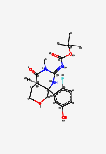 CN1C(=O)[C@@H]2CCOCC2(c2cc(O)ccc2F)NC1=NC(=O)OC(C)(C)C